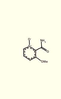 COc1[c]cc[n+]([O-])c1C(N)=O